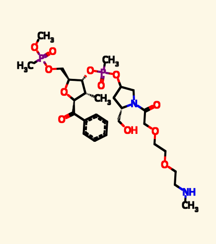 CNCCOCCOCC(=O)N1CC(OP(C)(=O)O[C@@H]2[C@H](C)[C@@H](C(=O)c3ccccc3)O[C@H]2COP(C)(=O)OC)C[C@H]1CO